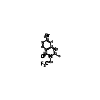 Cc1nc2cc(Br)ccc2c(=O)n1CC(F)(F)F